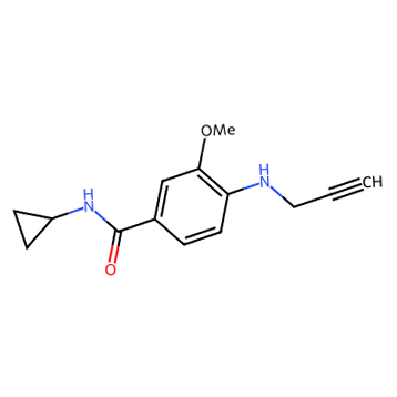 C#CCNc1ccc(C(=O)NC2CC2)cc1OC